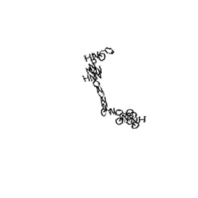 O=C1CC[C@H](N2C(=O)c3ccc(N4CC(C(=O)N5CCN(C6CCN(c7ccc(Nc8ncnc9c8ncn9C8CC(NC(=O)Cc9ccccc9)C8)cc7)CC6)CC5)C4)cc3C2=O)C(=O)N1